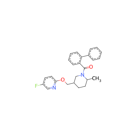 CC1CCC(COc2ccc(F)cn2)CN1C(=O)c1ccccc1-c1ccccc1